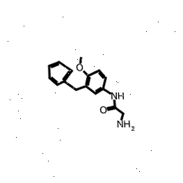 COc1ccc(NC(=O)CN)cc1Cc1ccccc1